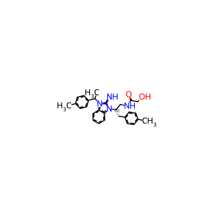 Cc1ccc(C[C@@H](CNC(=O)CO)n2c(=N)n(C(C)c3ccc(C)cc3)c3ccccc32)cc1